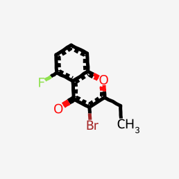 CCc1oc2cccc(F)c2c(=O)c1Br